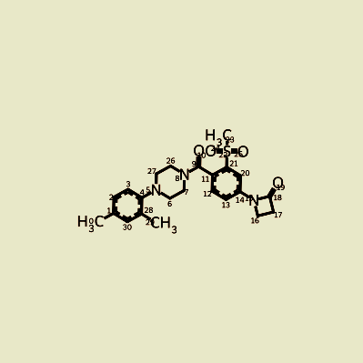 Cc1ccc(N2CCN(C(=O)c3ccc(N4CCC4=O)cc3S(C)(=O)=O)CC2)c(C)c1